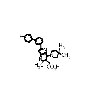 Cc1nc2cc(-c3cccc(-c4ccc(F)cc4)c3)nn2c(N2CCC(C)(C)CC2)c1CC(=O)O